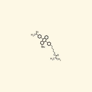 C=C(C)C(=O)OCCCCCc1ccc(-c2c3ccccc3c(-c3ccc(C(=C)CC)cc3)c3ccc(C(C)(C)C)cc23)cc1